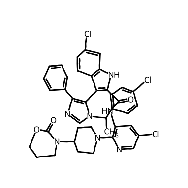 CC(c1ccc(Cl)cc1)n1cnc(-c2ccccc2)c1-c1c(C(=O)Nc2cc(Cl)cnc2N2CCC(N3CCCOC3=O)CC2)[nH]c2cc(Cl)ccc12